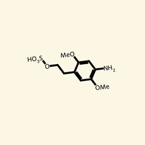 COc1cc(CCOS(=O)(=O)O)c(OC)cc1N